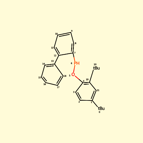 CC(C)(C)c1ccc(OPc2ccccc2-c2ccccc2)c(C(C)(C)C)c1